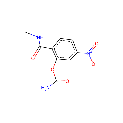 CNC(=O)c1ccc([N+](=O)[O-])cc1OC(N)=O